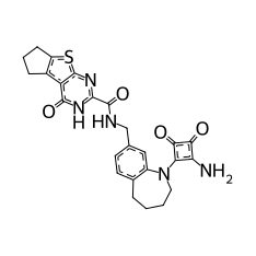 Nc1c(N2CCCCc3ccc(CNC(=O)c4nc5sc6c(c5c(=O)[nH]4)CCC6)cc32)c(=O)c1=O